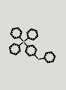 c1ccc(Sc2ccc(S(c3ccccc3)(c3ccccc3)c3ccccc3)cc2)cc1